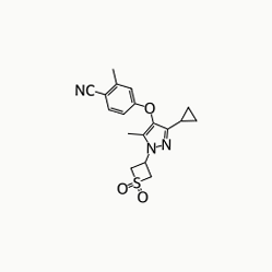 Cc1cc(Oc2c(C3CC3)nn(C3CS(=O)(=O)C3)c2C)ccc1C#N